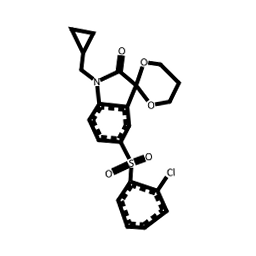 O=C1N(CC2CC2)c2ccc(S(=O)(=O)c3ccccc3Cl)cc2C12OCCCO2